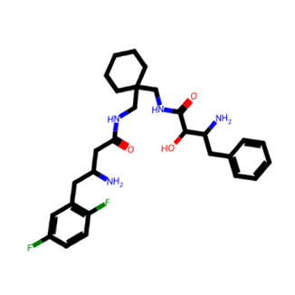 NC(CC(=O)NCC1(CNC(=O)C(O)C(N)Cc2ccccc2)CCCCC1)Cc1cc(F)ccc1F